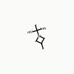 CCCC(C)(CCC)N1CC(C)C1